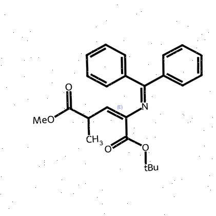 COC(=O)C(C)/C=C(/N=C(c1ccccc1)c1ccccc1)C(=O)OC(C)(C)C